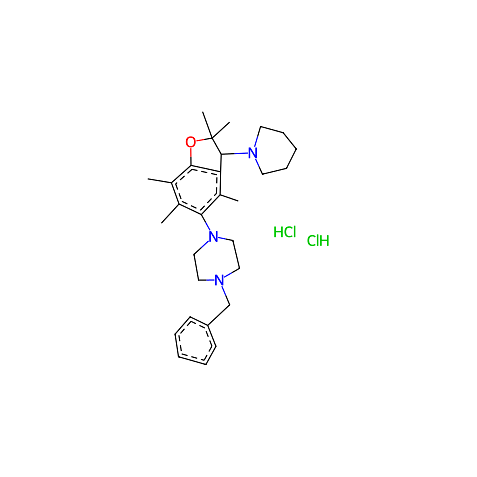 Cc1c(C)c(N2CCN(Cc3ccccc3)CC2)c(C)c2c1OC(C)(C)C2N1CCCCC1.Cl.Cl